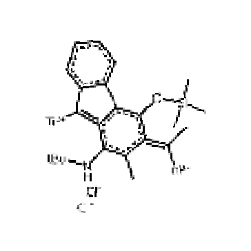 CCCC(C)=c1c(C)c(NC(C)(C)C)c2c(c1O[Si](C)(C)C)-c1ccccc1[C]=2[Ti+2].[Cl-].[Cl-]